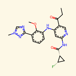 CCC(=O)c1cnc(NC(=O)[C@@H]2C[C@@H]2F)cc1Nc1cccc(-c2ncn(C)n2)c1OC